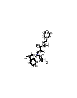 C=C(/C=C(\N(C)N)n1cc(C)c2ccccc21)C(=O)NCCN1CCOCC1